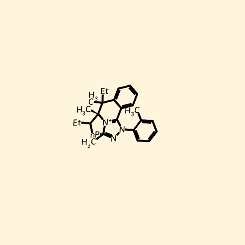 CCCC(CC)[C@@]1(C)[n+]2c(C)nn(-c3ccccc3C)c2-c2ccccc2C1(C)CC